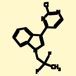 CC(F)(F)Cn1cc(-c2ccnc(Cl)n2)c2ccccc21